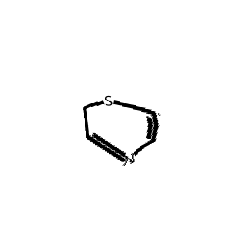 [C]1=CN=CCS1